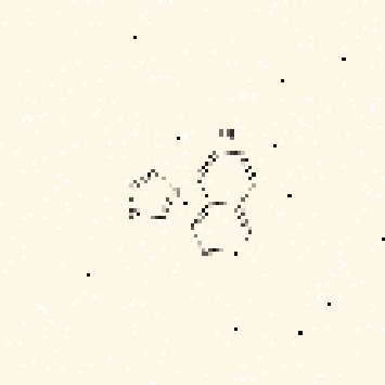 I.c1ccc2ccccc2c1.c1cocn1